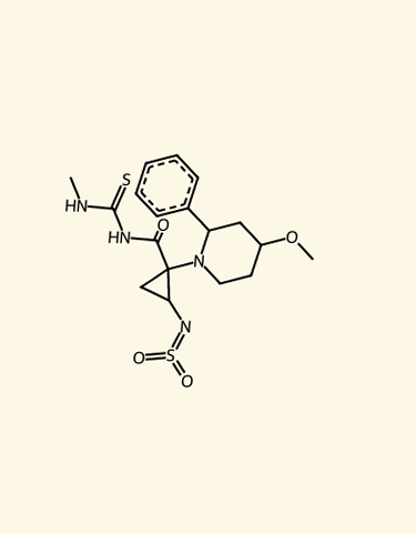 CNC(=S)NC(=O)C1(N2CCC(OC)CC2c2ccccc2)CC1N=S(=O)=O